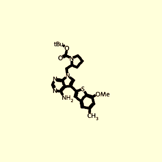 COc1cc(C)cc2cc(-c3cn(CC4CCCN4C(=O)OC(C)(C)C)c4ncnc(N)c34)sc12